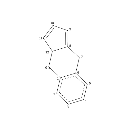 [C]1c2ccccc2CC2=CC=CC12